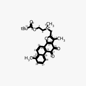 Cc1c(CN(C)CCOC(=O)C(C)(C)C)oc2c1C(=O)C(=O)c1c-2ccc2c(C)cccc12